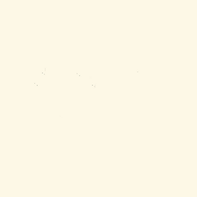 O=C(Nc1cccc(Br)c1)N1CCc2[nH]nc(-c3ccccc3)c2C1